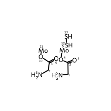 NCC(=O)[O][Mo].NCC(=O)[O][Mo].SS